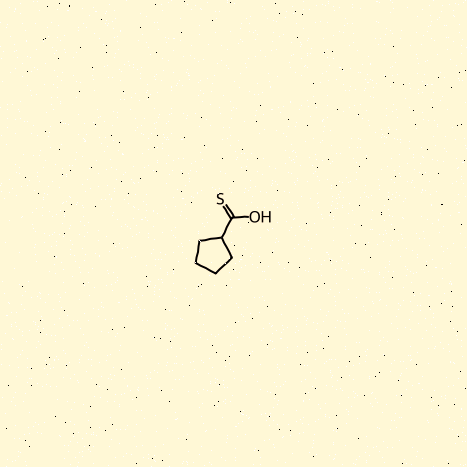 OC(=S)C1CCCC1